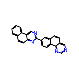 c1ccc2c(c1)ccc1nc(-c3ccc4c(ccc5cncnc54)c3)ncc12